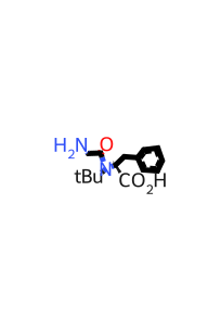 CC(C)(C)N(C(=O)CN)[C@@H](Cc1ccccc1)C(=O)O